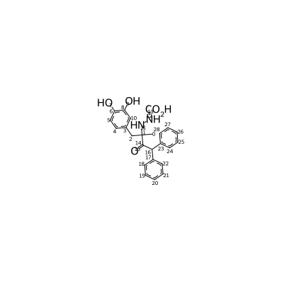 CC(Cc1ccc(O)c(O)c1)(NNC(=O)O)C(=O)C(c1ccccc1)c1ccccc1